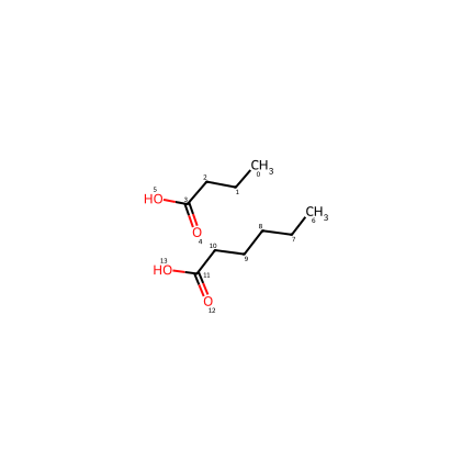 CCCC(=O)O.CCCCCC(=O)O